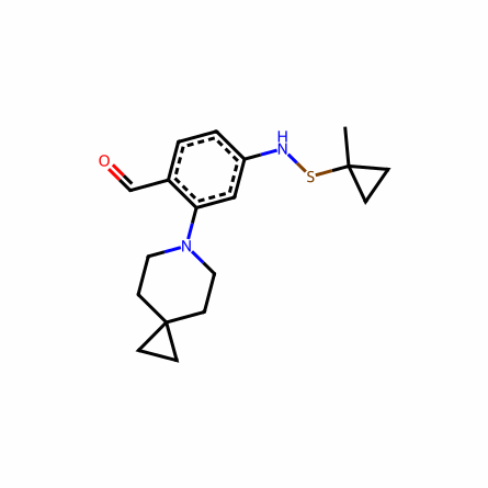 CC1(SNc2ccc(C=O)c(N3CCC4(CC3)CC4)c2)CC1